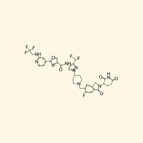 O=C1CCC(N2Cc3cc(CN4CCC(n5cc(NC(=O)c6coc(-c7ccnc(NCC(F)(F)F)c7)n6)c(C(F)F)n5)CC4)c(F)cc3C2=O)C(=O)N1